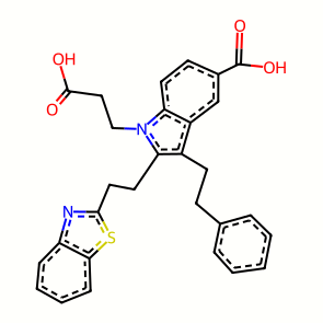 O=C(O)CCn1c(CCc2nc3ccccc3s2)c(CCc2ccccc2)c2cc(C(=O)O)ccc21